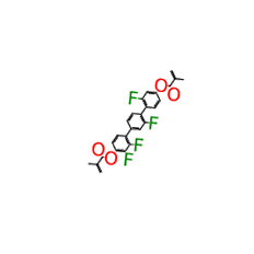 C=C(C)C(=O)Oc1ccc(-c2ccc(-c3ccc(OC(=O)C(=C)C)c(F)c3F)cc2F)c(F)c1